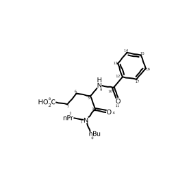 CCCCN(CCC)C(=O)C(CCC(=O)O)NC(=O)c1ccccc1